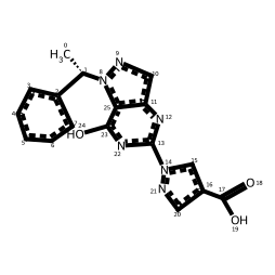 C[C@@H](c1ccccc1)n1ncc2nc(-n3cc(C(=O)O)cn3)nc(O)c21